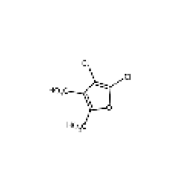 O=C(O)c1oc(Cl)c(Cl)c1C(=O)O